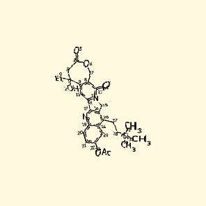 CCC1(O)CC(=O)OCc2c1cc1n(c2=O)Cc2c-1nc1ccc(OC(C)=O)cc1c2CC[Si](C)(C)C